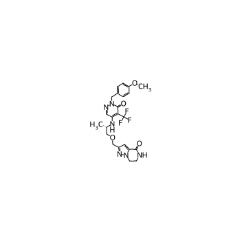 COc1ccc(Cn2ncc(N[C@@H](C)COCc3cc4n(n3)CCNC4=O)c(C(F)(F)F)c2=O)cc1